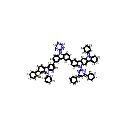 c1ccc(-c2cc(-c3ccccc3)nc(-n3c4ccc(-c5ccc6c(c5)c5cc(-c7ccc8c(c7)c7ccc9c%10ccccc%10sc9c7n8-c7ccccc7)ccc5n6-c5ncncn5)cc4c4cc5c(cc43)c3ccccc3n5-c3ccccc3)n2)cc1